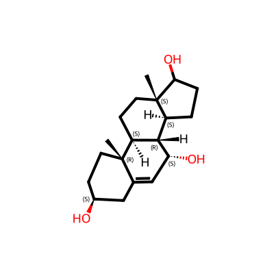 C[C@]12CC[C@H](O)CC1=C[C@@H](O)[C@@H]1[C@@H]2CC[C@]2(C)C(O)CC[C@@H]12